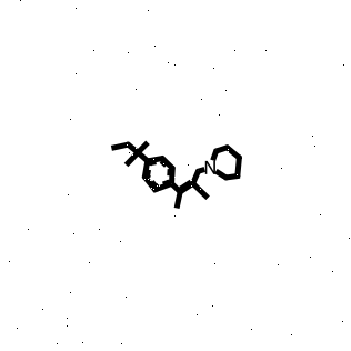 CCC(C)(C)c1ccc(C(C)=C(C)CN2CCCCC2)cc1